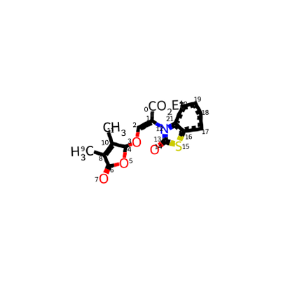 CCOC(=O)/C(=C/OC1OC(=O)C(C)=C1C)n1c(=O)sc2ccccc21